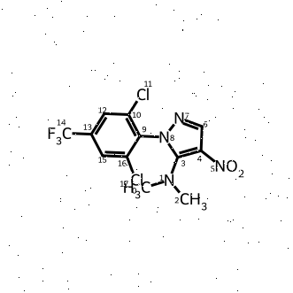 CN(C)c1c([N+](=O)[O-])cnn1-c1c(Cl)cc(C(F)(F)F)cc1Cl